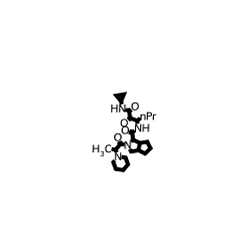 CCCC(NC(=O)C1C2CCCC2CN1C(=O)C(C)N1CCCCC1)C(=O)C(=O)NC1CC1